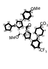 COC[C@H]1C[C@@H](c2ccc(C(F)(F)F)cc2N2CCC(C(=O)O)CC2)CN1C(=O)[C@@H]1CN(C2CCCC2)C[C@H]1c1ccc(OC)cc1